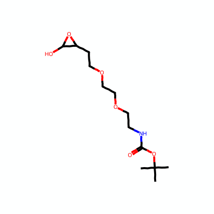 CC(C)(C)OC(=O)NCCOCCOCCC1OC1O